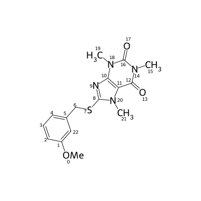 COc1cccc(CSc2nc3c(c(=O)n(C)c(=O)n3C)n2C)c1